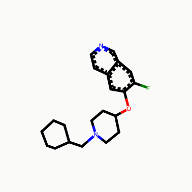 Fc1cc2cnccc2cc1OC1CCN(CC2CCCCC2)CC1